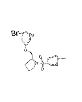 Cc1ccc(S(=O)(=O)N2CCC[C@H]2COc2cncc(Br)c2)cc1